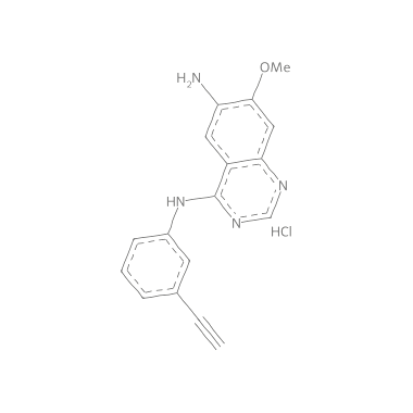 C#Cc1cccc(Nc2ncnc3cc(OC)c(N)cc23)c1.Cl